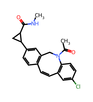 CNC(=O)C1CC1c1ccc2c(c1)CN(C(C)=O)c1ccc(Cl)cc1C=C2